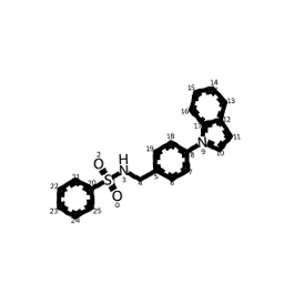 O=S(=O)(NCc1ccc(-n2ccc3c[c]ccc32)cc1)c1ccccc1